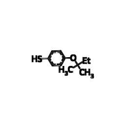 CCC(C)(C)Oc1ccc(S)cc1